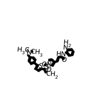 C=CC(c1ccc(-c2ccc(CN(C)C)cc2)s1)S(=O)(=O)n1ccc(/C=C/C(=O)Nc2ccccc2N)c1